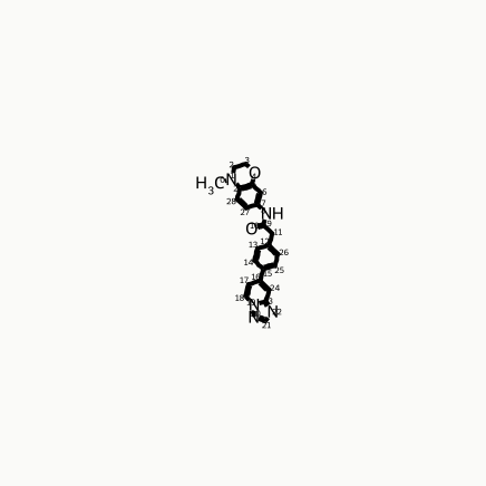 CN1CCOc2cc(NC(=O)Cc3ccc(-c4ccn5ncnc5c4)cc3)ccc21